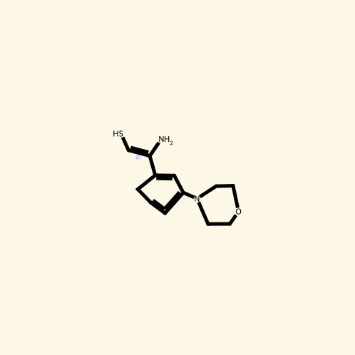 N/C(=C\S)C1=CC(N2CCOCC2)=C=CC1